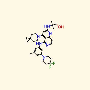 Cc1cc(Nc2nccc3nc(NC(C)(C)CO)cc(N4CCC5(CC4)CC5)c23)cc(N2CCC(F)(F)CC2)c1